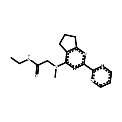 CCNC(=O)CN(C)c1nc(-c2ncccn2)nc2c1CCC2